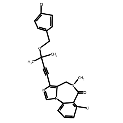 CN1Cc2c(C#CC(C)(C)OCc3ccc(Cl)cc3)ncn2-c2cccc(Cl)c2C1=O